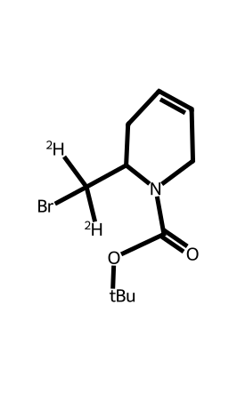 [2H]C([2H])(Br)C1CC=CCN1C(=O)OC(C)(C)C